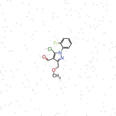 COCc1nn(-c2ccccc2F)c(Cl)c1C=O